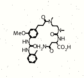 COc1cc(CCC(=O)N(C)CCN(C)C(=O)NC(CC(N)=O)C(=O)O)ccc1NC(=O)Nc1ccccc1C